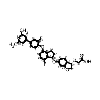 Cc1cc(-c2ccc(Oc3ccc(F)c4c3CC[C@H]4Oc3ccc4c(c3)OC[C@H]4CCC(=O)O)c(F)c2)cc(C)n1